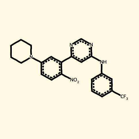 O=[N+]([O-])c1ccc(N2CCCCC2)cc1-c1cc(Nc2cccc(C(F)(F)F)c2)ncn1